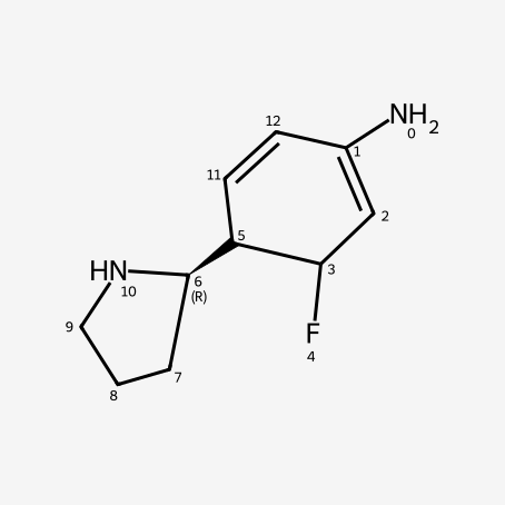 NC1=CC(F)C([C@H]2CCCN2)C=C1